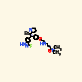 CC/C(=C(/c1ccc(OCCNC/C=C/C(=O)N(C)C)cc1)c1ccc2[nH]nc(F)c2c1)c1ccccn1